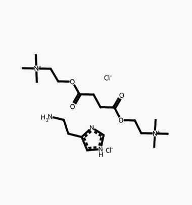 C[N+](C)(C)CCOC(=O)CCC(=O)OCC[N+](C)(C)C.NCCc1c[nH]cn1.[Cl-].[Cl-]